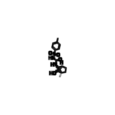 Cc1ccc(S(=O)(=O)NC(=O)N[C@H]2[C@H]3CC[C@@](C)([C@H]2O)C3(C)C)cc1